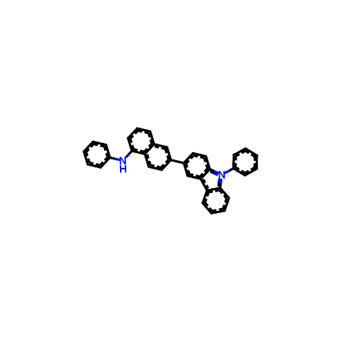 c1ccc(Nc2cccc3cc(-c4ccc5c(c4)c4ccccc4n5-c4ccccc4)ccc23)cc1